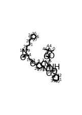 CC(OC(=O)CN1Cc2cc(OCCCC(=O)N(C)CCCCC3CCCC3)ccc2N=C1NC(=O)Oc1ccccc1)C(C)(C)C